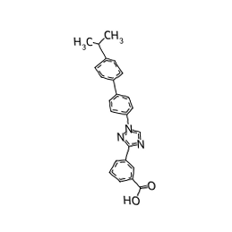 CC(C)c1ccc(-c2ccc(-n3cnc(-c4cccc(C(=O)O)c4)n3)cc2)cc1